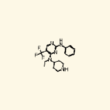 CCN(c1nc(Nc2ccccc2)ncc1C(F)(F)F)C1CCNCC1